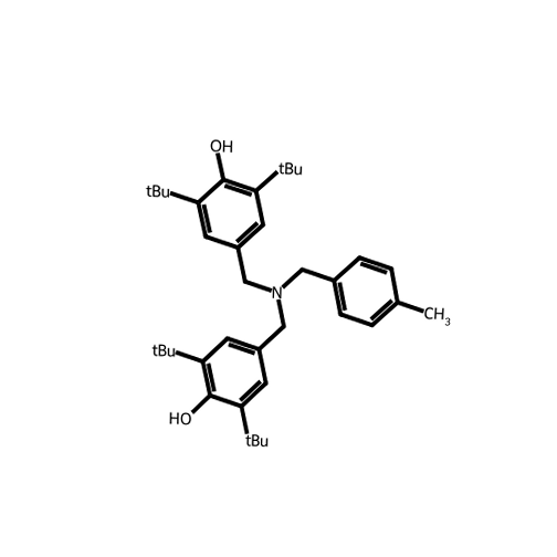 Cc1ccc(CN(Cc2cc(C(C)(C)C)c(O)c(C(C)(C)C)c2)Cc2cc(C(C)(C)C)c(O)c(C(C)(C)C)c2)cc1